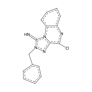 N=c1n(Cc2ccccc2)nc2c(Cl)nc3ccccc3n12